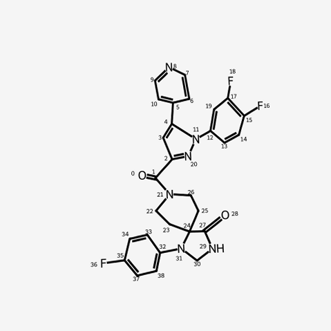 O=C(c1cc(-c2ccncc2)n(-c2ccc(F)c(F)c2)n1)N1CCC2(CC1)C(=O)NCN2c1ccc(F)cc1